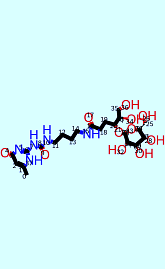 Cc1cc(=O)nc(NC(=O)NCCCCNC(=O)CCC(O[C@@H]2O[C@H](CO)[C@H](O)[C@H](O)[C@H]2O)[C@H](O)CO)[nH]1